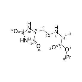 CC(C)OC(=O)[C@@H](C)NSC[C@H]1NC(=O)NC1=O